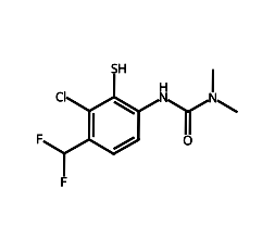 CN(C)C(=O)Nc1ccc(C(F)F)c(Cl)c1S